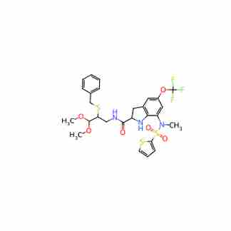 COC(OC)C(CNC(=O)C1Cc2cc(OC(F)(F)F)cc(N(C)S(=O)(=O)c3cccs3)c2N1)SCc1ccccc1